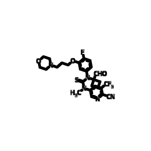 CN(C(=S)N(c1ccc(F)c(OCCCN2CCOCC2)c1)C1(C=O)CCC1)c1cnc(C#N)c(C(F)(F)F)c1